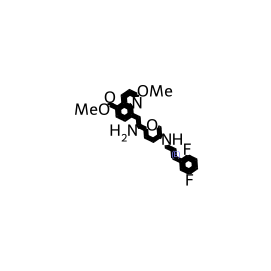 COC(=O)c1ccc(CC(N)C2CCC(NC/C=C/c3cc(F)ccc3F)CO2)c2nc(OC)ccc12